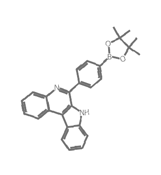 CC1(C)OB(c2ccc(-c3nc4ccccc4c4c3[nH]c3ccccc34)cc2)OC1(C)C